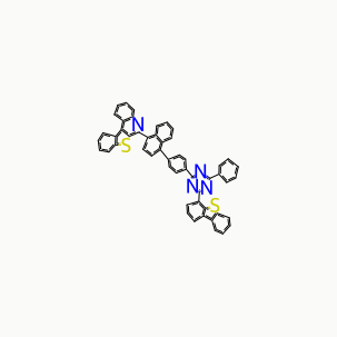 c1ccc(-c2nc(-c3ccc(-c4ccc(-c5nc6ccccc6c6c5sc5ccccc56)c5ccccc45)cc3)nc(-c3cccc4c3sc3ccccc34)n2)cc1